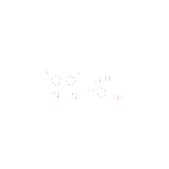 COc1cc(CO)ccc1OCCCN1CCC(C(C#N)(c2ccc(F)cc2)c2ccc(F)cc2)C1